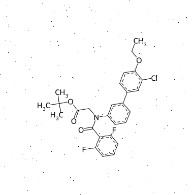 CCOc1ccc(-c2cccc(N(CC(=O)OC(C)(C)C)C(=O)c3c(F)cccc3F)c2)cc1Cl